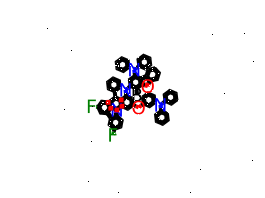 Fc1ccc2c(c1)c1cc(F)ccc1n2-c1cc2c3c(c1)N(c1ccccc1-c1ccccc1)c1cc(N(c4ccccc4)c4ccccc4)c4c(oc5ccccc54)c1B3c1ccc(N(c3ccccc3)c3ccccc3)cc1O2